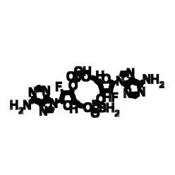 BP1(=O)OC[C@H]2O[C@@H](n3cnc4c(N)ncnc43)[C@H](F)C2OP(=O)(O)OC[C@H]2O[C@@H](n3cnc4c(N)ncnc43)[C@H](F)[C@@H]2O1